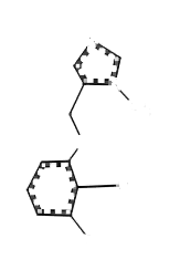 CCc1c(F)cccc1OCc1cncn1C